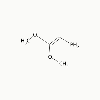 COC(=CP)OC